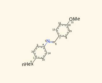 CCCCCCc1ccc(N=Cc2ccc(OC)cc2)cc1